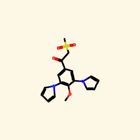 COc1c(-n2cccc2)cc(C(=O)CS(C)(=O)=O)cc1-n1cccc1